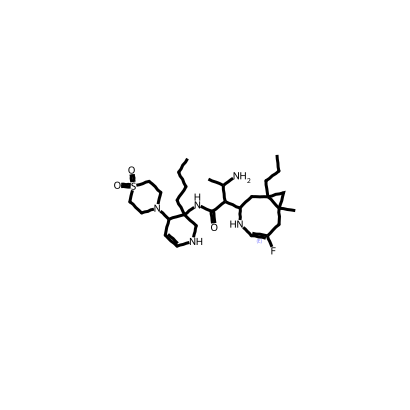 CCCCC1(NC(=O)C(C(C)N)C2CC3(CCC)CC3(C)C/C(F)=C\N2)CNC=CC1N1CCS(=O)(=O)CC1